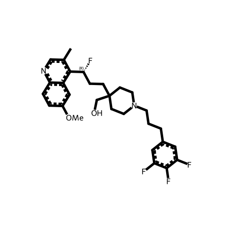 COc1ccc2ncc(C)c([C@H](F)CCC3(CO)CCN(CCCc4cc(F)c(F)c(F)c4)CC3)c2c1